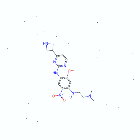 COc1cc(N(C)CCN(C)C)c([N+](=O)[O-])cc1Nc1nccc(C2CNC2)n1